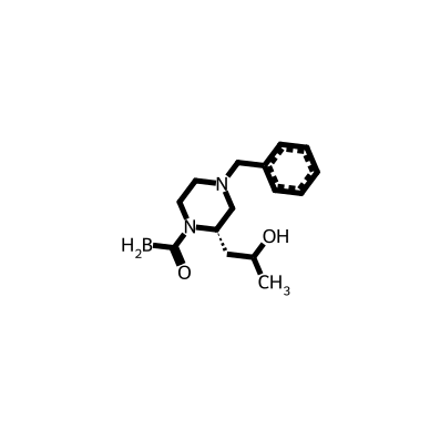 BC(=O)N1CCN(Cc2ccccc2)C[C@@H]1CC(C)O